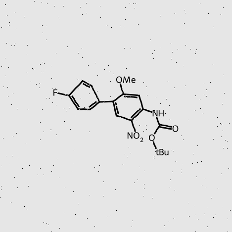 COc1cc(NC(=O)OC(C)(C)C)c([N+](=O)[O-])cc1-c1ccc(F)cc1